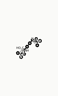 O=C(O)c1nc([C@@H]2CCCN2C(=O)[C@@H](c2ccccc2)N2CCCCC2)[nH]c1-c1ccc(-c2ccc(-c3cnc([C@@H]4CCCN4C(=O)[C@@H](c4ccccc4)N4CCCCC4)[nH]3)cc2)cc1